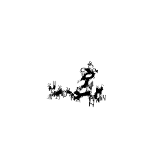 COC(=O)C1(OC)CCC(c2nc(Nc3cc(C)[nH]n3)c3cnn(COCC[Si](C)(C)C)c3n2)CC1